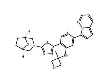 CC1(Nc2cc(-c3ccc4cccnn34)ncc2-c2nnc(N3C[C@H]4CC[C@@H](C3)O4)s2)COC1